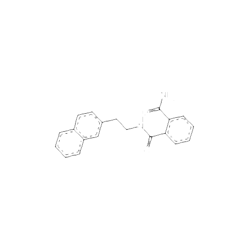 NC(=O)c1ccccc1C(=O)NCCc1ccc2ccccc2c1